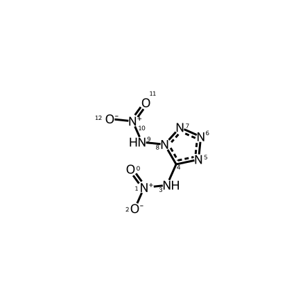 O=[N+]([O-])Nc1nnnn1N[N+](=O)[O-]